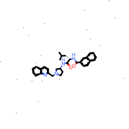 CC(C)C[C@H](NC(=O)c1ccc2ccccc2c1)C(=O)N[C@H]1CCN(Cc2ccc3ccccc3n2)C1